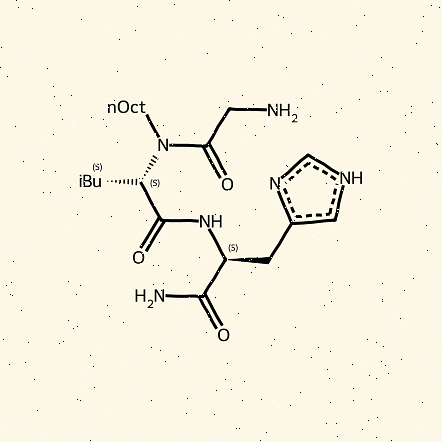 CCCCCCCCN(C(=O)CN)[C@H](C(=O)N[C@@H](Cc1c[nH]cn1)C(N)=O)[C@@H](C)CC